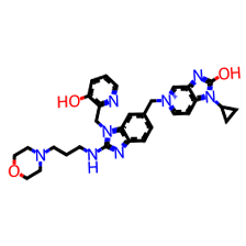 Oc1cccnc1Cn1c(NCCCN2CCOCC2)nc2ccc(C[n+]3ccc4c(c3)nc(O)n4C3CC3)cc21